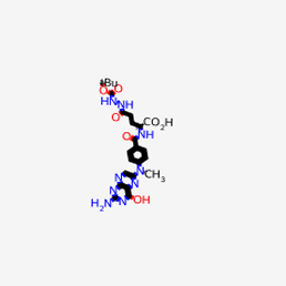 CN(c1ccc(C(=O)N[C@@H](CCC(=O)NNC(=O)OC(C)(C)C)C(=O)O)cc1)c1cnc2nc(N)nc(O)c2n1